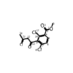 COC(=O)c1ccc(Cl)c(C(=O)CC(C)=O)c1Cl